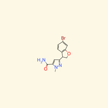 Cn1nc(C2COc3cc(Br)ccc32)cc1C(N)=O